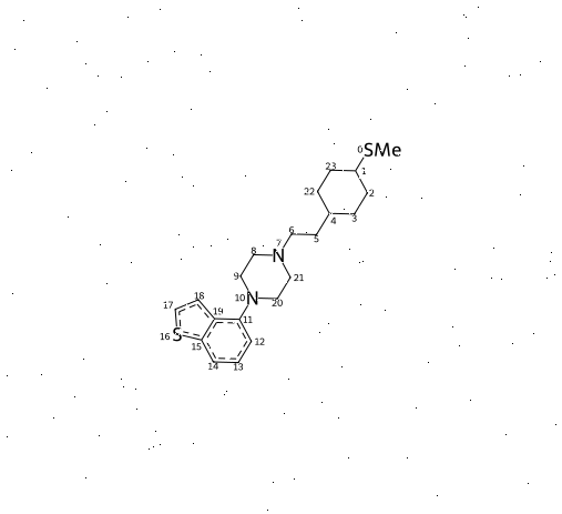 CSC1CCC(CCN2CCN(c3cccc4sccc34)CC2)CC1